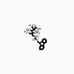 CCC(C)(CNC(=O)OCC1c2ccccc2-c2ccccc21)C(O)C(C)(CC)C(=O)O